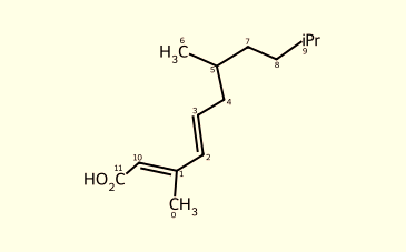 CC(C=CCC(C)CCC(C)C)=CC(=O)O